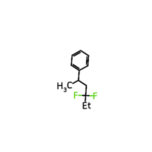 CCC(F)(F)CC(C)c1ccccc1